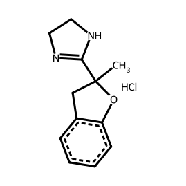 CC1(C2=NCCN2)Cc2ccccc2O1.Cl